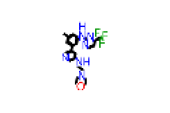 Cc1cc(Nc2nccc(C(F)(F)F)n2)cc(-c2cncc(NCCN3CCOCC3)c2)c1